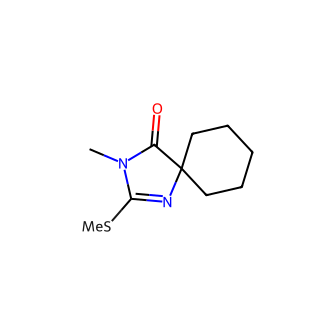 CSC1=NC2(CCCCC2)C(=O)N1C